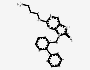 NCCCNc1ncc2[nH]c(=O)n(Cc3ccccc3-c3ccccc3)c2n1